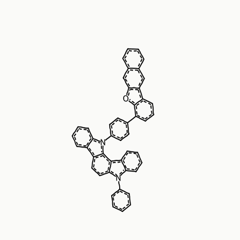 c1ccc(-n2c3ccccc3c3c2ccc2c4ccccc4n(-c4ccc(-c5cccc6c5oc5cc7ccccc7cc56)cc4)c23)cc1